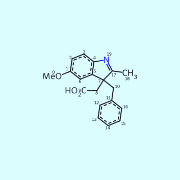 COc1ccc2c(c1)C(CC(=O)O)(Cc1ccccc1)C(C)=N2